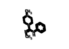 C/N=C(\Nc1ccccc1)N1CCN(C)CC1